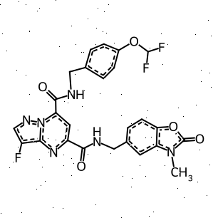 Cn1c(=O)oc2ccc(CNC(=O)c3cc(C(=O)NCc4ccc(OC(F)F)cc4)n4ncc(F)c4n3)cc21